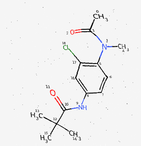 CC(=O)N(C)c1ccc(NC(=O)C(C)(C)C)cc1Cl